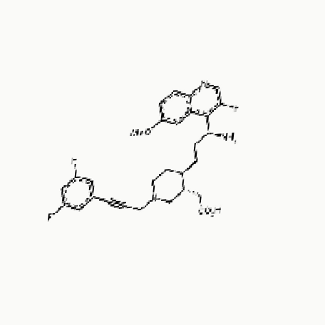 COc1ccc2ncc(F)c([C@@H](N)CC[C@@H]3CCN(CC#Cc4cc(F)cc(F)c4)C[C@H]3CC(=O)O)c2c1